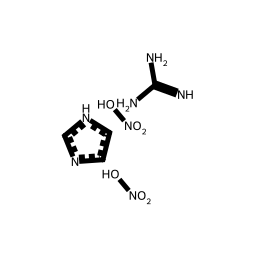 N=C(N)N.O=[N+]([O-])O.O=[N+]([O-])O.c1c[nH]cn1